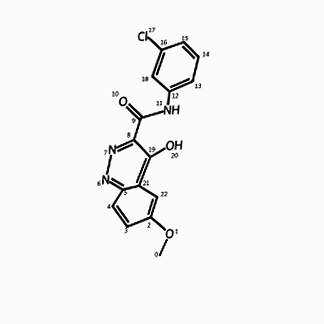 COc1ccc2nnc(C(=O)Nc3cccc(Cl)c3)c(O)c2c1